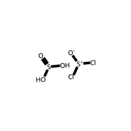 O=S(O)O.[O-][S+](Cl)Cl